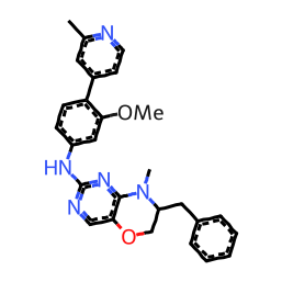 COc1cc(Nc2ncc3c(n2)N(C)C(Cc2ccccc2)CO3)ccc1-c1ccnc(C)c1